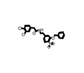 O=C(Cc1ccc(Cl)c(Cl)c1)NCCc1ccc([N+](=O)[O-])c(OCc2ccccc2)c1